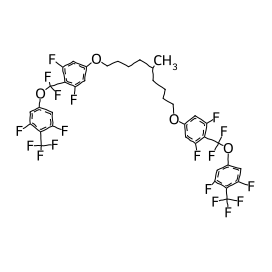 CC(CCCCOc1cc(F)c(C(F)(F)Oc2cc(F)c(C(F)(F)F)c(F)c2)c(F)c1)CCCCOc1cc(F)c(C(F)(F)Oc2cc(F)c(C(F)(F)F)c(F)c2)c(F)c1